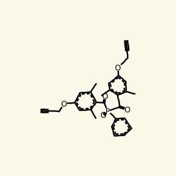 C#CCOc1cc(C)c(C(=O)P(=O)(C(=O)c2c(C)cc(OCC#C)cc2C)c2ccccc2)c(C)c1